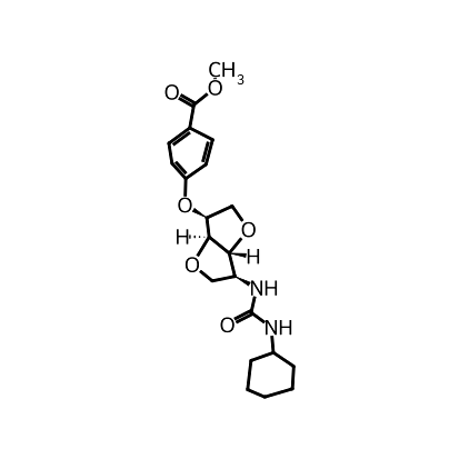 COC(=O)c1ccc(O[C@H]2CO[C@H]3[C@H]2OC[C@@H]3NC(=O)NC2CCCCC2)cc1